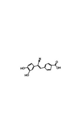 N#CC(=Cc1ccc(C(=O)O)cc1)c1ccc(O)c(O)c1